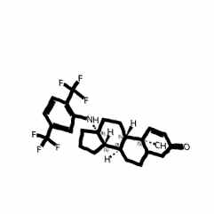 C[C@]12C=CC(=O)CC1CC[C@H]1[C@@H]3CCC[C@@]3(Nc3cc(C(F)(F)F)ccc3C(F)(F)F)CC[C@@H]12